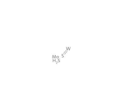 S.[Mo].[S]=[W]